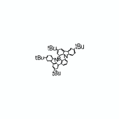 CC(C)(C)c1ccc2c(c1)c1cc(C(C)(C)C)cc3c1n2B1c2c-3cccc2-n2c3ccc(C(C)(C)C)cc3c3cc(C(C)(C)C)cc1c32